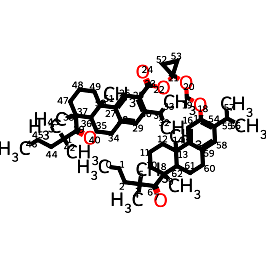 CCCC(C)(C)C(=O)C1(C)CCCC2(C)c3cc(OCOC4(OC(=O)c5cc6c(cc5C(C)C)CCC5C(C)(C(=O)C(C)(C)CCC)CCCC65C)CC4)c(C(C)C)cc3CCC12